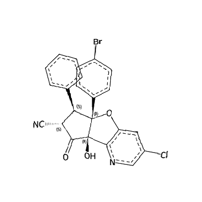 N#C[C@H]1C(=O)[C@@]2(O)c3ncc(Cl)cc3O[C@@]2(c2ccc(Br)cc2)[C@@H]1c1ccccc1